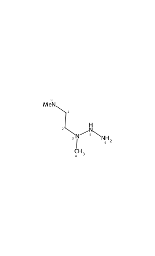 CNCCN(C)NN